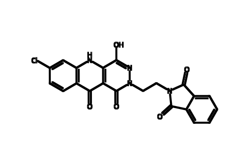 O=C1c2ccccc2C(=O)N1CCn1nc(O)c2[nH]c3cc(Cl)ccc3c(=O)c2c1=O